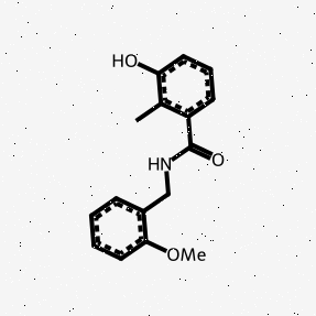 COc1ccccc1CNC(=O)c1cccc(O)c1C